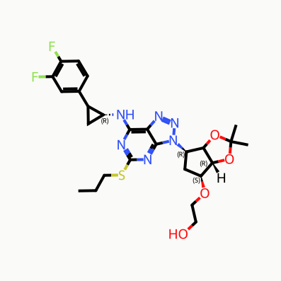 CCCSc1nc(N[C@@H]2CC2c2ccc(F)c(F)c2)c2nnn([C@@H]3C[C@H](OCCO)[C@H]4OC(C)(C)OC34)c2n1